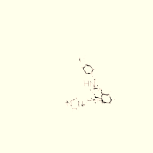 COc1ccc(CNc2nc(NCCN3CCN(C)CC3)c3ccccc3n2)cc1